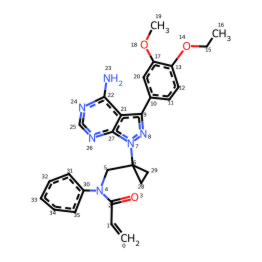 C=CC(=O)N(CC1(n2nc(-c3ccc(OCC)c(OC)c3)c3c(N)ncnc32)CC1)c1ccccc1